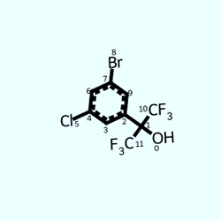 OC(c1cc(Cl)cc(Br)c1)(C(F)(F)F)C(F)(F)F